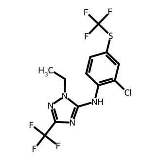 CCn1nc(C(F)(F)F)nc1Nc1ccc(SC(F)(F)F)cc1Cl